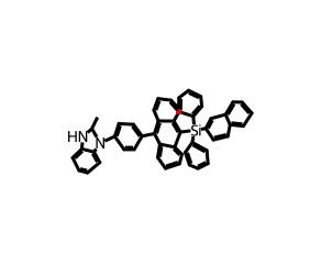 CC1Nc2ccccc2N1c1ccc(-c2c3ccccc3c([Si](c3ccccc3)(c3ccccc3)c3ccc4ccccc4c3)c3ccccc23)cc1